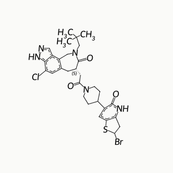 CC(C)(C)CN1Cc2c(cc(Cl)c3[nH]ncc23)C[C@@H](CC(=O)N2CCC(c3cc4c([nH]c3=O)CC(Br)S4)CC2)C1=O